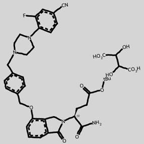 CC(C)(C)OC(=O)CC[C@@H](C(N)=O)N1Cc2c(OCc3ccc(CN4CCN(c5ccc(C#N)cc5F)CC4)cc3)cccc2C1=O.O=C(O)C(O)C(O)C(=O)O